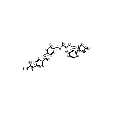 N=C(N)Nc1ccc(C(=O)Oc2ccc(CCC(=O)N(CC(=O)O)Cc3cccc(-c4noc(=O)[nH]4)c3)c(Cl)c2)cc1